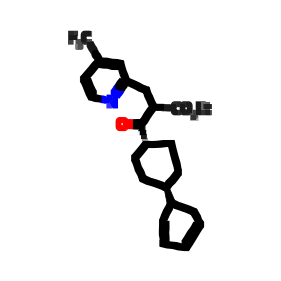 CCOC(=O)C(Cc1cc(C(F)(F)F)ccn1)C(=O)[C@H]1CC[C@H](C2C=CC=CC2)CC1